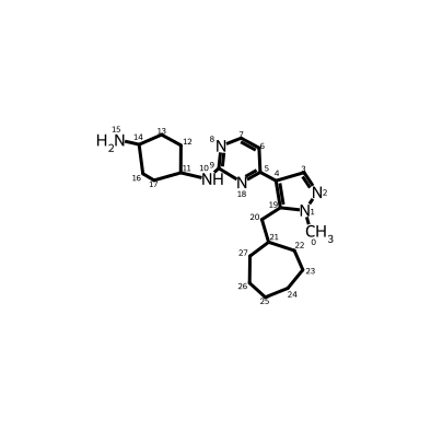 Cn1ncc(-c2ccnc(NC3CCC(N)CC3)n2)c1CC1CCCCCC1